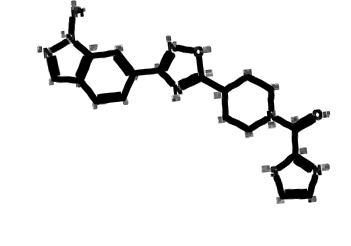 CC(C)n1ncc2ccc(-c3noc(C4CCN(C(=O)c5nccs5)CC4)n3)cc21